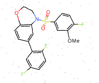 COc1cc(S(=O)(=O)N2CCOc3ccc(-c4cc(F)ccc4F)cc32)ccc1F